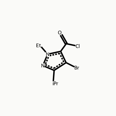 CCn1nc(C(C)C)c(Br)c1C(=O)Cl